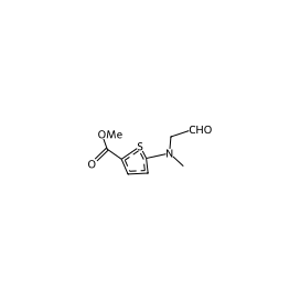 COC(=O)c1ccc(N(C)CC=O)s1